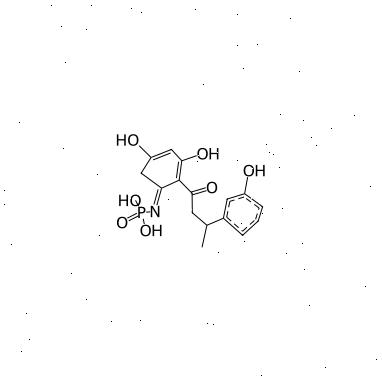 CC(CC(=O)C1=C(O)C=C(O)CC1=NP(=O)(O)O)c1cccc(O)c1